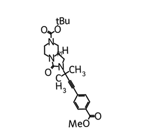 COC(=O)c1ccc(C#CC(C)(C)N2C[C@@H]3CN(C(=O)OC(C)(C)C)CCN3C2=O)cc1